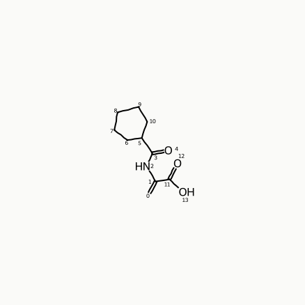 C=C(NC(=O)C1CCCCC1)C(=O)O